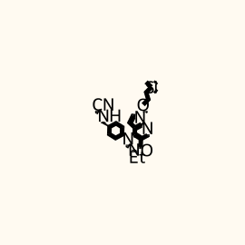 CCN1CN([C@H]2CC[C@H](CNCC#N)CC2)c2c(cnc3c2ccn3COCC[Si](C)(C)C)C1=O